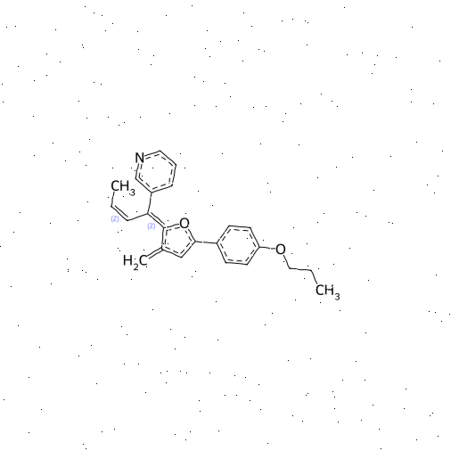 C=c1cc(-c2ccc(OCCC)cc2)o/c1=C(/C=C\C)c1cccnc1